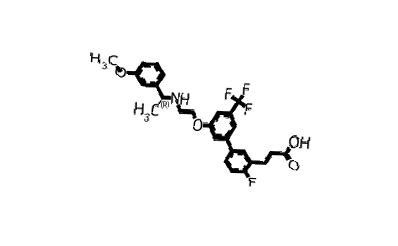 COc1cccc([C@@H](C)NCCOc2cc(-c3ccc(F)c(CCC(=O)O)c3)cc(C(F)(F)F)c2)c1